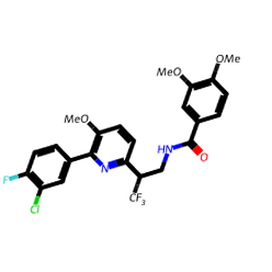 COc1ccc(C(=O)NCC(c2ccc(OC)c(-c3ccc(F)c(Cl)c3)n2)C(F)(F)F)cc1OC